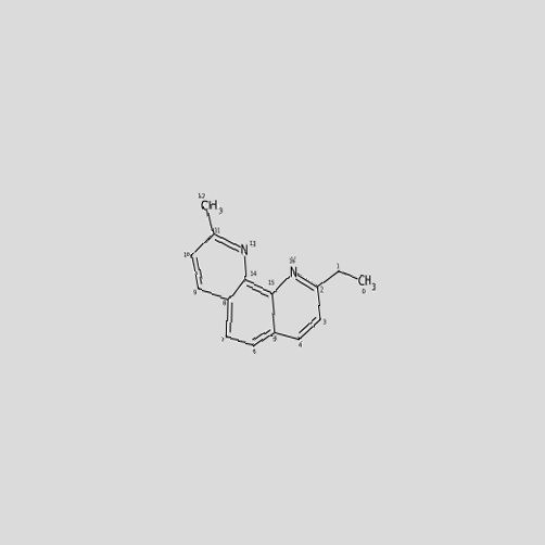 CCc1ccc2ccc3ccc(C)nc3c2n1